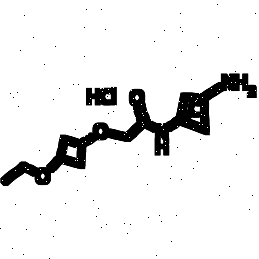 CCOC1CC(OCC(=O)NC23CC(N)(C2)C3)C1.Cl